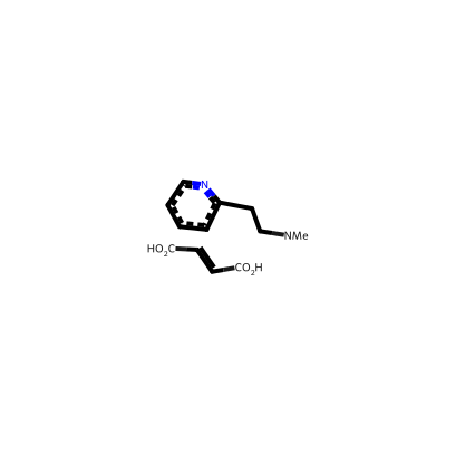 CNCCc1ccccn1.O=C(O)/C=C/C(=O)O